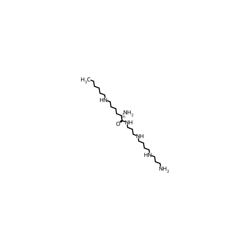 CCCCCCNCCCC[C@H](N)C(=O)NCCCNCCCCNCCCN